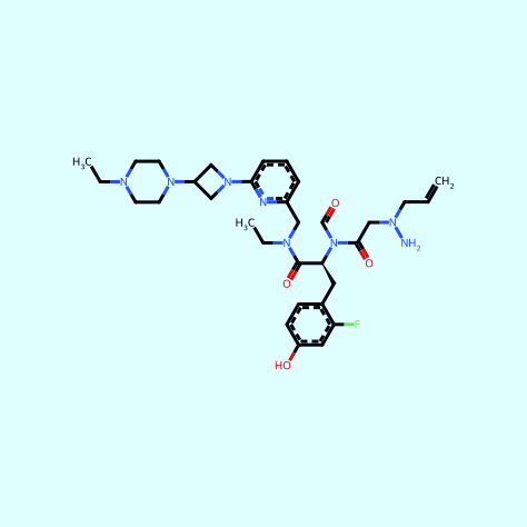 C=CCN(N)CC(=O)N(C=O)[C@@H](Cc1ccc(O)cc1F)C(=O)N(CC)Cc1cccc(N2CC(N3CCN(CC)CC3)C2)n1